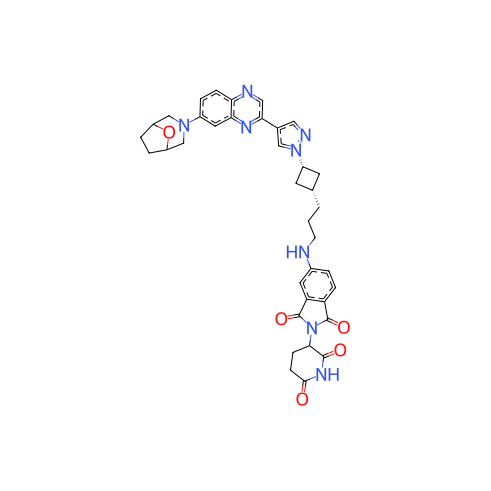 O=C1CCC(N2C(=O)c3ccc(NCCC[C@H]4C[C@@H](n5cc(-c6cnc7ccc(N8CC9CCC(C8)O9)cc7n6)cn5)C4)cc3C2=O)C(=O)N1